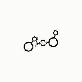 O=C(N1CCN(c2ccccccc(C3CCCC3)cc2)CC1)N1N=CCC1c1ccccccccc1